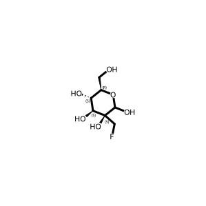 OC[C@H]1OC(O)[C@](O)(CF)[C@@H](O)[C@@H]1O